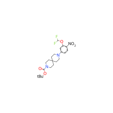 CC(C)(C)OC(=O)N1CCC2(CC1)CCN(c1ccc([N+](=O)[O-])c(OC(F)F)c1)CC2